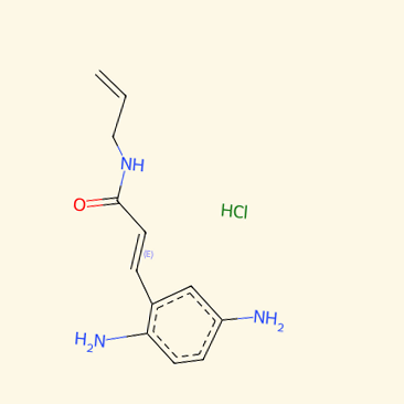 C=CCNC(=O)/C=C/c1cc(N)ccc1N.Cl